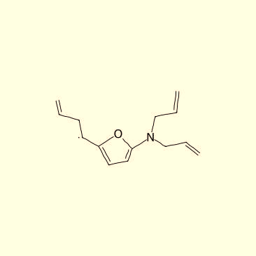 C=CC[CH]c1ccc(N(CC=C)CC=C)o1